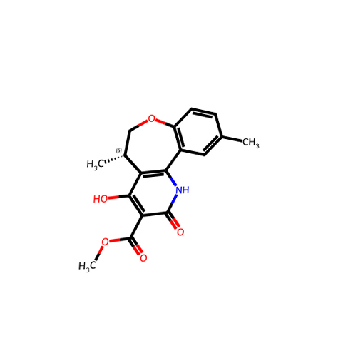 COC(=O)c1c(O)c2c([nH]c1=O)-c1cc(C)ccc1OC[C@H]2C